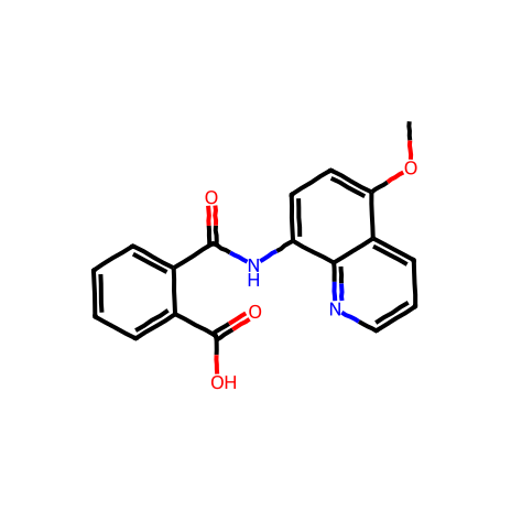 COc1ccc(NC(=O)c2ccccc2C(=O)O)c2ncccc12